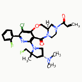 C=CC(=O)N1CCN2C(=O)c3c(N4C[C@H](N(C)C)CC4(C)CF)nc(-c4ccccc4F)c(Cl)c3OC[C@H]2C1